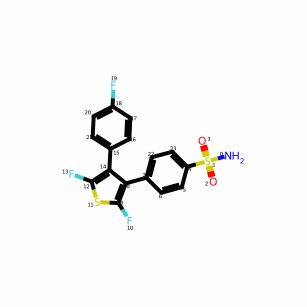 NS(=O)(=O)c1ccc(-c2c(F)sc(F)c2-c2ccc(F)cc2)cc1